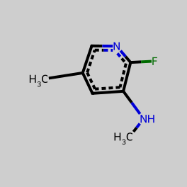 CNc1cc(C)cnc1F